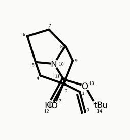 C=CC1(O)CC2CCC(C1)N2C(=O)OC(C)(C)C